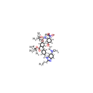 CCCc1nc2ccc(N(C)CCOc3ccc([N+](=O)[O-])c(N(C)C(=O)OC(C)(C)C)c3)cc2n1Cc1ccc(-c2ccccc2C(=O)OC(C)(C)C)cc1